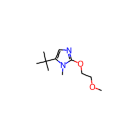 COCCOc1ncc(C(C)(C)C)n1C